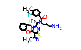 Cc1ccc(C(=O)N(CCCN)[C@H](c2nc3snc(C)c3c(=O)n2Cc2ccccc2)C(C)C)cc1F